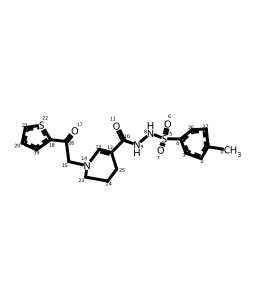 Cc1ccc(S(=O)(=O)NNC(=O)C2=CN(CC(=O)c3cccs3)CCC2)cc1